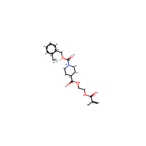 C=C(C)C(=O)OCCOC(=O)C1CCN(C(=O)OCc2ccccc2[N+](=O)[O-])CC1